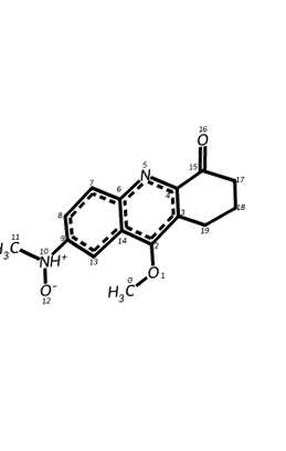 COc1c2c(nc3ccc([NH+](C)[O-])cc13)C(=O)CCC2